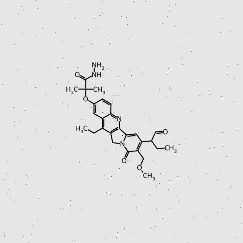 CCc1c2c(nc3ccc(OC(C)(C)C(=O)NN)cc13)-c1cc(C(C=O)CC)c(COC)c(=O)n1C2